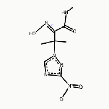 CNC(=O)/C(=N/O)C(C)(C)n1cnc([N+](=O)[O-])n1